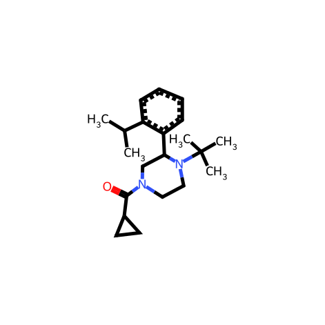 CC(C)c1ccccc1C1CN(C(=O)C2CC2)CCN1C(C)(C)C